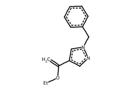 C=C(OCC)c1cnn(Cc2ccccc2)c1